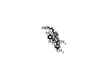 COc1cccc(O)c1-n1c(C/C=C\CCO)nnc1NSC(C)C(C)c1ncc(C)cn1